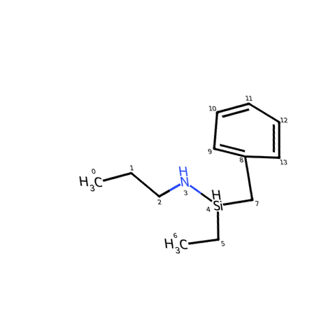 CCCN[SiH](CC)Cc1ccccc1